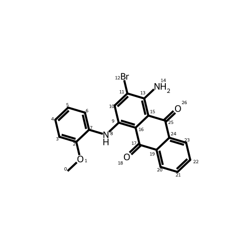 COc1ccccc1Nc1cc(Br)c(N)c2c1C(=O)c1ccccc1C2=O